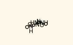 O=C(Nc1ccc(-c2nc3cc(NC(=O)C4CCCCCC4)cnc3[nH]2)cc1)C1CCCCCC1